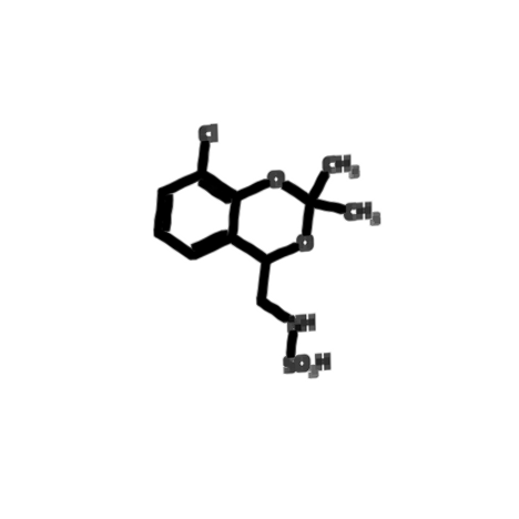 CC1(C)Oc2c(Cl)cccc2C(CNS(=O)(=O)O)O1